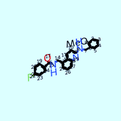 COc1ccccc1CNc1ccc2c(CNC(=O)c3ccc(F)cc3)cccc2n1